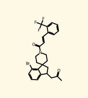 CC(=O)CC1CC2(CCN(C(=O)/C=C/c3ccccc3C(F)(F)F)CC2)c2c(Br)cccc21